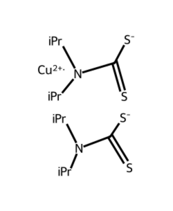 CC(C)N(C(=S)[S-])C(C)C.CC(C)N(C(=S)[S-])C(C)C.[Cu+2]